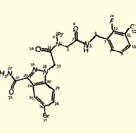 CC(C)N(CC(=O)NCc1cccc(Cl)c1F)C(=O)Cn1nc(C(N)=O)c2cc(Br)ccc21